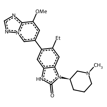 CCc1cc2c(cc1-c1cc(OC)c3ncnn3c1)[nH]c(=O)n2[C@@H]1CCCN(C)C1